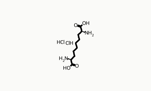 Cl.Cl.N[C@@H](CCCCCC[C@H](N)C(=O)O)C(=O)O